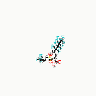 COC(=O)C(CCC(F)(F)C(F)(F)C(F)(F)C(F)(F)F)S(=O)(=O)CCC(F)(F)F